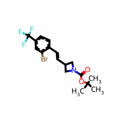 CC(C)(C)OC(=O)N1CC(/C=C/c2ccc(C(F)(F)F)cc2Br)C1